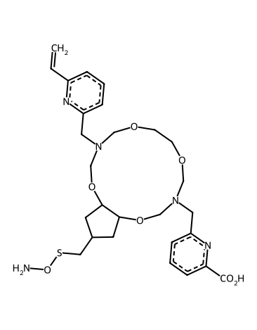 C=Cc1cccc(CN2COCCOCN(Cc3cccc(C(=O)O)n3)COC3CC(CSON)CC3OC2)n1